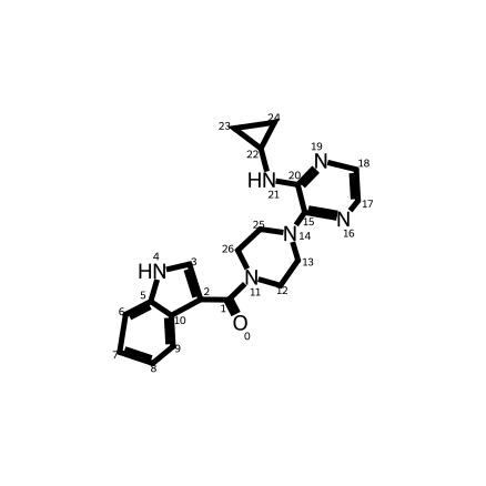 O=C(c1c[nH]c2ccccc12)N1CCN(c2nccnc2NC2CC2)CC1